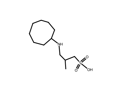 CC(CNC1CCCCCCC1)CS(=O)(=O)O